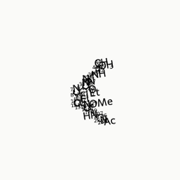 CCOc1cc(-c2nccc(-c3cccc(-c4ccc(CNC5CCN(C(C)=O)CC5)c(OC)n4)c3Cl)c2Cl)cn2nc(CN[C@H]3C[C@@](C)(O)C3)nc12